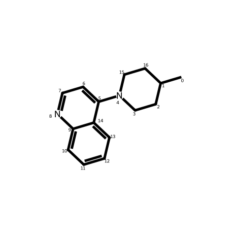 CC1CCN(c2ccnc3ccccc23)CC1